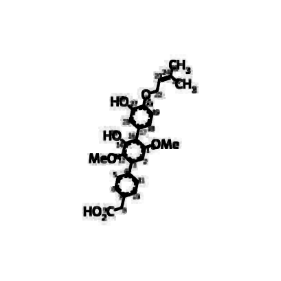 COc1cc(-c2ccc(CC(=O)O)cc2)c(OC)c(O)c1-c1ccc(OCC=C(C)C)c(O)c1